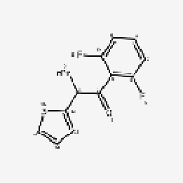 CCCC(C(=O)c1c(F)cccc1F)c1cccs1